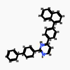 c1ccc(-c2ccc(-c3nccc(-c4ccc(-c5cccc6ccccc56)cc4)n3)cc2)cc1